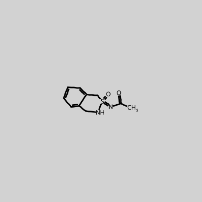 CC(=O)N=S1(=O)Cc2ccccc2CN1